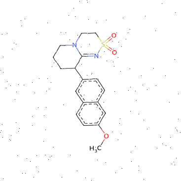 COc1ccc2cc(C3CCCN4CCS(=O)(=O)N=C34)ccc2c1